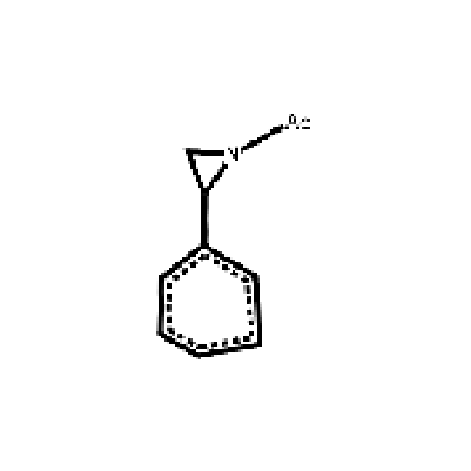 CC(=O)N1CC1c1ccccc1